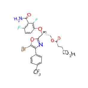 NC(=O)c1c(F)ccc(O[C@H](COC(=O)CCC(=O)O)c2nc(-c3ccc(C(F)(F)F)cc3)c(Br)o2)c1F